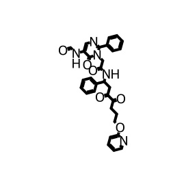 O=CNc1cnc(-c2ccccc2)n(CC(=O)NC(CC(=O)C(=O)CCCOc2ccccn2)c2ccccc2)c1=O